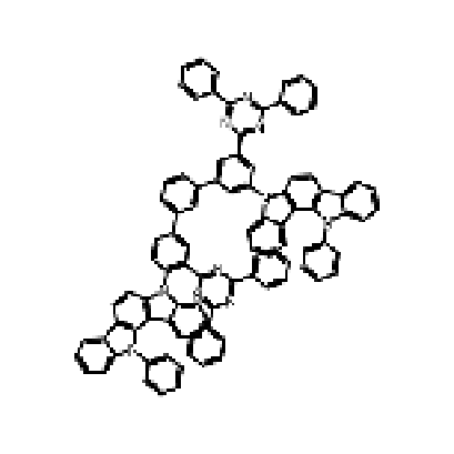 c1ccc(-c2nc(-c3ccccc3)nc(-c3cc(-c4cccc(-c5ccc(-n6c7ccccc7c7c6ccc6c8ccccc8n(-c8ccccc8)c67)c(-c6nc(-c7ccccc7)nc(-c7ccccc7)n6)c5)c4)cc(-n4c5ccccc5c5c4ccc4c6ccccc6n(-c6ccccc6)c45)c3)n2)cc1